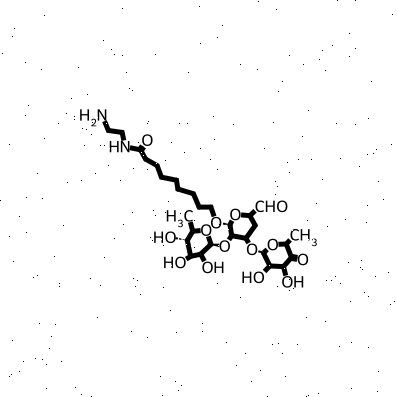 CC1O[C@@H](OC2CC(C=O)O[C@@H](OCCCCCCCCC(=O)NCCN)C2O[C@@H]2OC(C)[C@@H](O)C(O)C2O)C(O)C(O)C1=O